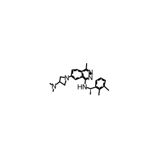 Cc1cccc([C@@H](C)Nc2nnc(C)c3ccc(N4CC(N(C)C)C4)cc23)c1C